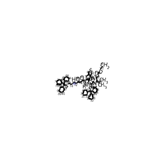 C=CCOC(=O)C[C@H](O)[C@H](NC(=O)[C@@H](CSC(c1ccccc1)(c1ccccc1)c1ccccc1)NC(=O)[C@@H](Cc1ccsc1)NC(=O)C[C@H](O)/C=C/CCSC(c1ccccc1)(c1ccccc1)c1ccccc1)C(C)C